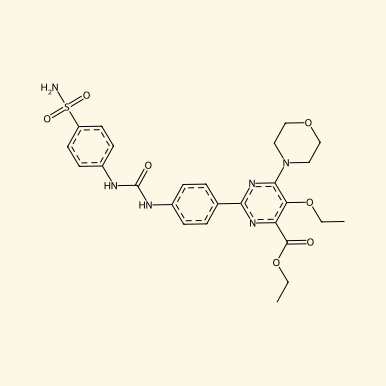 CCOC(=O)c1nc(-c2ccc(NC(=O)Nc3ccc(S(N)(=O)=O)cc3)cc2)nc(N2CCOCC2)c1OCC